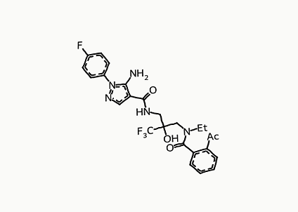 CCN(CC(O)(CNC(=O)c1cnn(-c2ccc(F)cc2)c1N)C(F)(F)F)C(=O)c1ccccc1C(C)=O